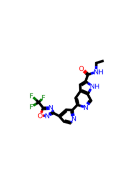 CCNC(=O)c1cc2cc(-c3cc(-c4noc(C(F)(F)F)n4)ccn3)ncc2[nH]1